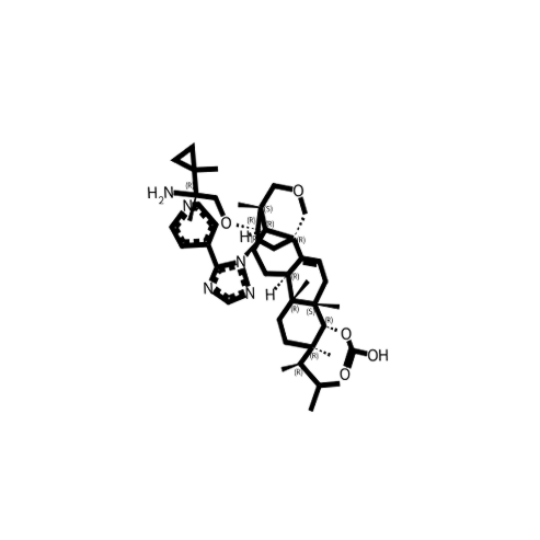 CC(C)[C@@H](C)[C@@]1(C)CC[C@]2(C)[C@H]3CC[C@@H]4[C@@]5(COC[C@@]4(C)[C@@H](OC[C@](C)(N)C4(C)CC4)[C@H](n4ncnc4-c4ccncc4)C5)C3=CC[C@]2(C)[C@@H]1OC(=O)O